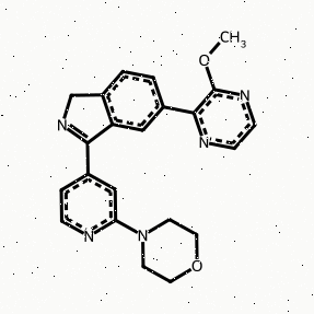 COc1nccnc1-c1ccc2c(c1)C(c1ccnc(N3CCOCC3)c1)=NC2